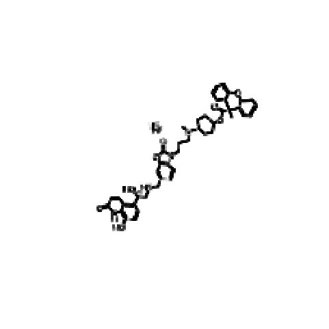 CN(CCCn1c(=O)oc2cc(CNC[C@H](O)c3ccc(O)c4[nH]c(=O)ccc34)ccc21)C1CCC(OC(=O)C2(C)c3ccccc3Oc3ccccc32)CC1.F.F